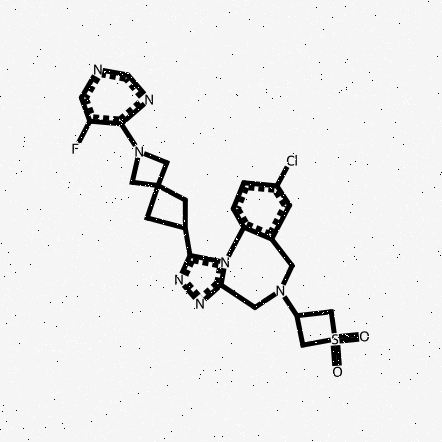 O=S1(=O)CC(N2Cc3cc(Cl)ccc3-n3c(nnc3C3CC4(C3)CN(c3ncncc3F)C4)C2)C1